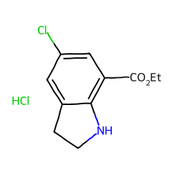 CCOC(=O)c1cc(Cl)cc2c1NCC2.Cl